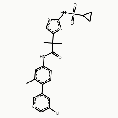 Cc1cc(NC(=O)C(C)(C)c2csc(NS(=O)(=O)C3CC3)n2)ccc1-c1cncc(Cl)c1